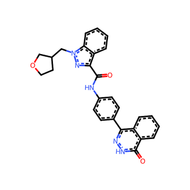 O=C(Nc1ccc(-c2n[nH]c(=O)c3ccccc23)cc1)c1nn(CC2CCOC2)c2ccccc12